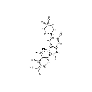 Cc1nc(N[C@H](C)c2cccc(C(C)F)c2F)c2cc(N3CCS(=O)(=O)CC3)c(Cl)nc2n1